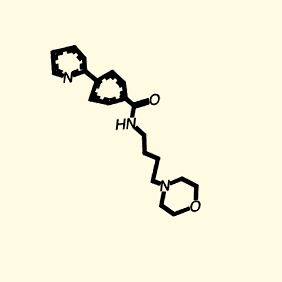 O=C(NCCCCN1CCOCC1)c1ccc(-c2ccccn2)cc1